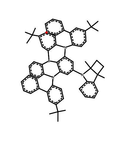 CC(C)(C)c1ccc2c(c1)B1c3ccccc3N(c3ccc(C(C)(C)C)cc3-c3ccccc3)c3cc(N4c5ccccc5C5(C)CCC45C)cc(c31)N2c1ccc(C(C)(C)C)cc1-c1ccccc1